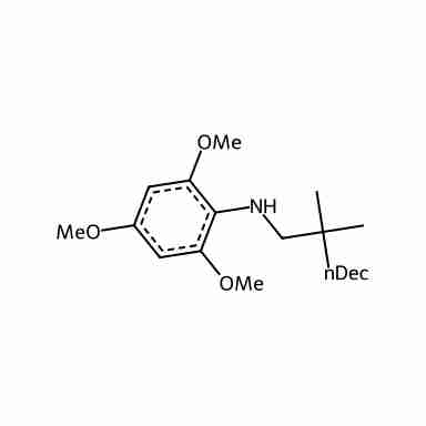 CCCCCCCCCCC(C)(C)CNc1c(OC)cc(OC)cc1OC